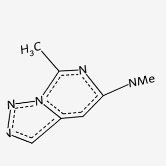 CNc1cc2cnnn2c(C)n1